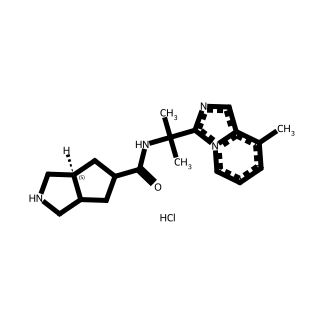 Cc1cccn2c(C(C)(C)NC(=O)C3CC4CNC[C@H]4C3)ncc12.Cl